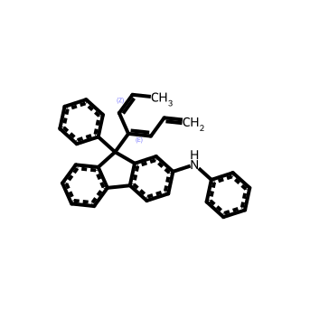 C=C/C=C(\C=C/C)C1(c2ccccc2)c2ccccc2-c2ccc(Nc3ccccc3)cc21